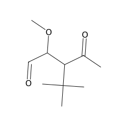 COC(C=O)C(C(C)=O)C(C)(C)C